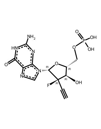 C#C[C@@]1(F)[C@H](O)[C@@H](COP(=O)(O)O)O[C@H]1n1cnc2c(=O)[nH]c(N)nc21